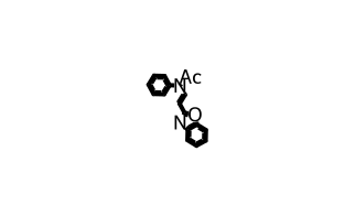 CC(=O)N(C=Cc1nc2ccccc2o1)c1ccccc1